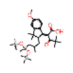 COc1ccc2c(c1)C(C)(C)C(CC(C)C[Si](C)(O[Si](C)(C)C)O[Si](C)(C)C)C2=C(C(=O)O)C(=O)C(C)(C)C